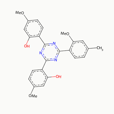 COc1ccc(-c2nc(-c3ccc(OC)cc3O)nc(-c3ccc(C)cc3OC)n2)c(O)c1